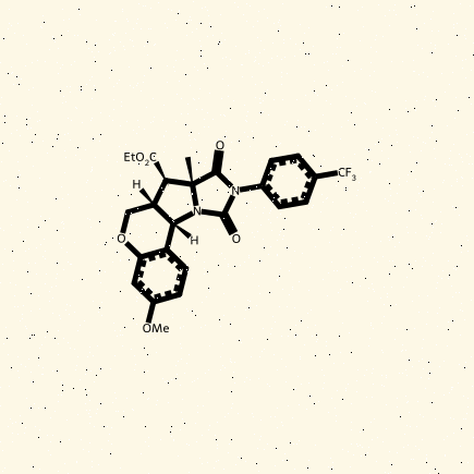 CCOC(=O)[C@@H]1[C@H]2COc3cc(OC)ccc3[C@H]2N2C(=O)N(c3ccc(C(F)(F)F)cc3)C(=O)[C@@]12C